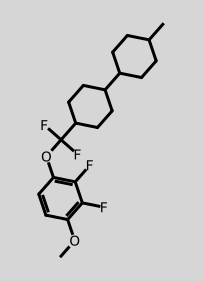 COc1ccc(OC(F)(F)C2CCC(C3CCC(C)CC3)CC2)c(F)c1F